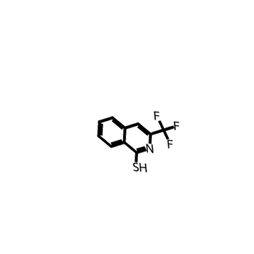 FC(F)(F)c1cc2ccccc2c(S)n1